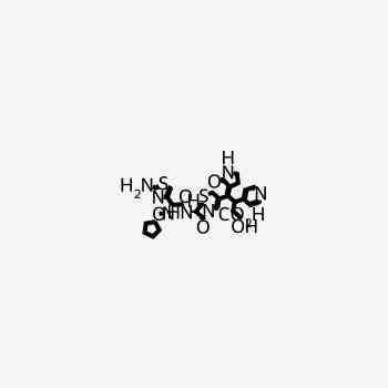 Nc1nc(C(=NOC2CCCC2)C(=O)N[C@@H]2C(=O)N3C(C(=O)O)=C(C(=C4CCNC4=O)C(CCO)c4ccncc4)CS[C@H]23)cs1